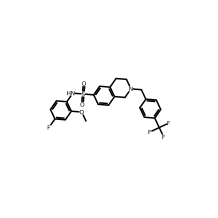 COc1cc(F)ccc1NS(=O)(=O)c1ccc2c(c1)CCN(Cc1ccc(C(F)(F)F)cc1)C2